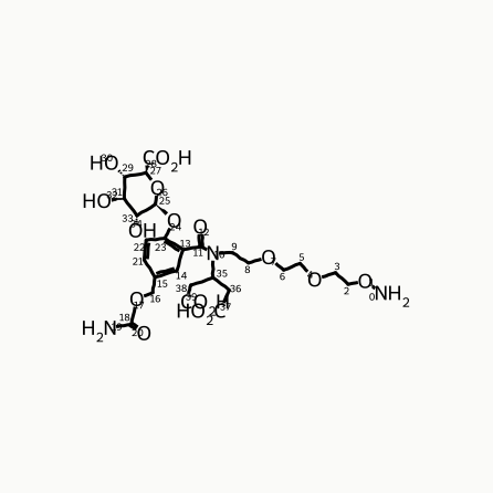 NOCCOCCOCCN(C(=O)c1cc(COC(N)=O)ccc1O[C@@H]1O[C@H](C(=O)O)[C@@H](O)[C@H](O)[C@H]1O)C(CC(=O)O)CC(=O)O